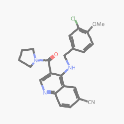 COc1ccc(CNc2c(C(=O)N3CCCC3)cnc3ccc(C#N)cc23)cc1Cl